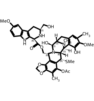 COc1ccc2[nH]c3c(c2c1)C[C@@H](CO)N[C@H]3C(=O)OC[C@H]1c2c3c(c(C)c(OC(C)=O)c2[C@@H](SC)[C@H]2[C@@H]4c5c(cc(C)c(OC)c5O)C[C@@H]([C@H](O)N21)N4C)OCO3